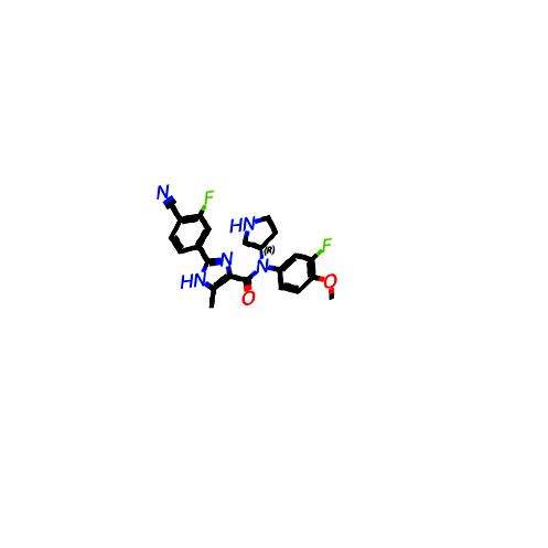 COc1ccc(N(C(=O)c2nc(-c3ccc(C#N)c(F)c3)[nH]c2C)[C@@H]2CCNC2)cc1F